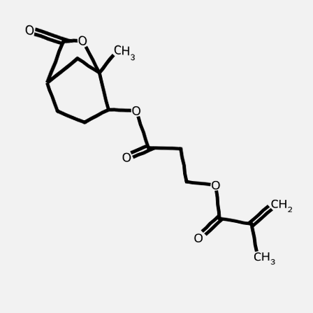 C=C(C)C(=O)OCCC(=O)OC1CCC2CC1(C)OC2=O